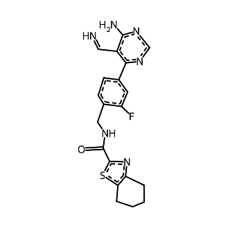 N=Cc1c(N)ncnc1-c1ccc(CNC(=O)c2nc3c(s2)CCCC3)c(F)c1